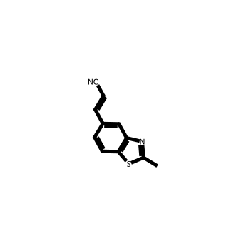 Cc1nc2cc(C=CC#N)ccc2s1